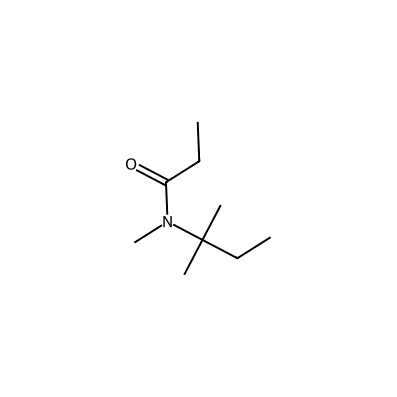 CCC(=O)N(C)C(C)(C)CC